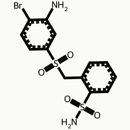 Nc1cc(S(=O)(=O)Cc2ccccc2S(N)(=O)=O)ccc1Br